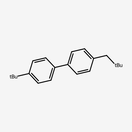 CC(C)(C)Cc1ccc(-c2ccc(C(C)(C)C)cc2)cc1